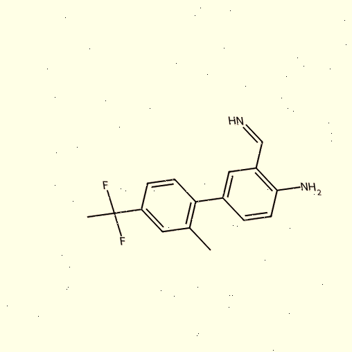 Cc1cc(C(C)(F)F)ccc1-c1ccc(N)c(C=N)c1